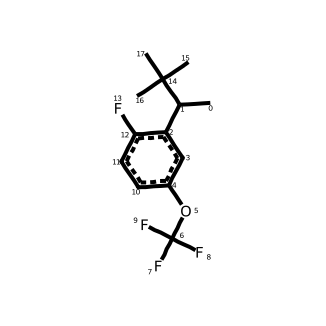 CC(c1cc(OC(F)(F)F)ccc1F)C(C)(C)C